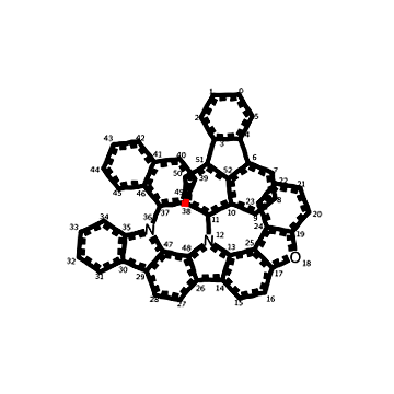 c1ccc2c(c1)-c1cccc3c(-n4c5c(ccc6oc7ccccc7c65)c5ccc6c7ccccc7n(-c7cccc8ccccc78)c6c54)ccc-2c13